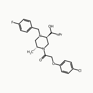 CCCC(O)[C@H]1CN(C(=O)COc2ccc(Cl)cc2)[C@H](C)CN1Cc1ccc(F)cc1